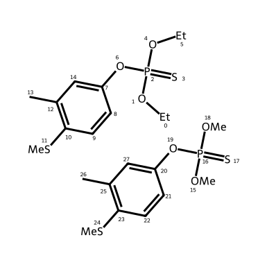 CCOP(=S)(OCC)Oc1ccc(SC)c(C)c1.COP(=S)(OC)Oc1ccc(SC)c(C)c1